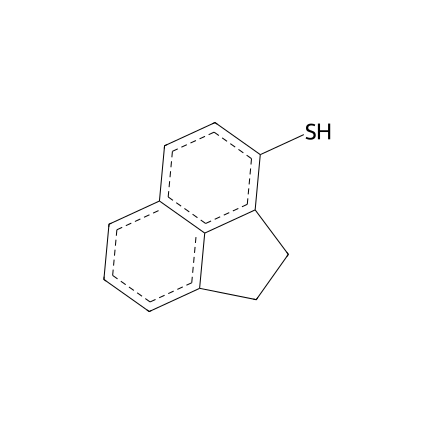 Sc1ccc2cccc3c2c1CC3